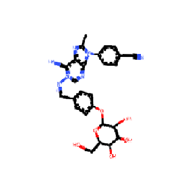 Cc1nc2c(=N)n(/N=C\c3ccc(OC4OC(CO)C(O)C(O)C4O)cc3)cnc2n1-c1ccc(C#N)cc1